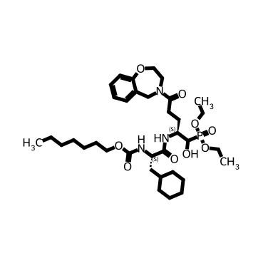 CCCCCCCOC(=O)N[C@@H](CC1CCCCC1)C(=O)N[C@@H](CCC(=O)N1CCOc2ccccc2C1)C(O)P(=O)(OCC)OCC